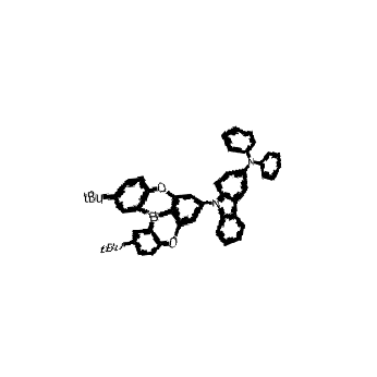 CC(C)(C)c1ccc2c(c1)B1c3cc(C(C)(C)C)ccc3Oc3cc(-n4c5ccccc5c5cc(N(c6ccccc6)c6ccccc6)ccc54)cc(c31)O2